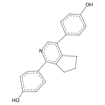 Oc1ccc(-c2cnc(-c3ccc(O)cc3)c3c2CCC3)cc1